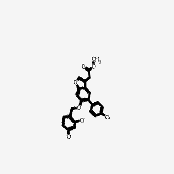 COC(=O)Cc1coc2cc(OCc3ccc(Cl)cc3Cl)c(-c3ccc(Cl)cc3)cc12